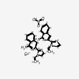 C=Cn1ccnc1-c1cc2ccccc2c(N)n1.C=Cn1ccnc1-c1cc2ccccc2c(N)n1.O=[N+]([O-])[O-].[Cu+]